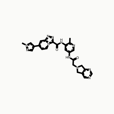 Cc1ncc(NC(=O)CN2Cc3cncnc3C2)cc1NC(=O)c1nnc2cc(-c3cnn(C)c3)ccn12